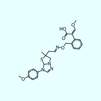 COC=C(C(=O)O)c1ccccc1CON=CCC1(C)CN2N=CN(c3ccc(OC)cc3)C2S1